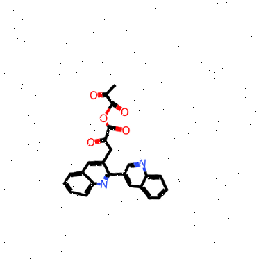 CC(=O)C(=O)OC(=O)C(=O)Cc1cc2ccccc2nc1-c1cnc2ccccc2c1